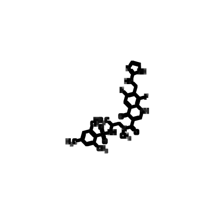 Cc1cc(C)c(S(=O)(=O)NC(CN(C)C(=O)c2c[nH]c3c(F)c(CNc4ncc[nH]4)c(F)cc3c2=O)C(=O)O)c(C)c1